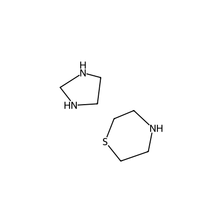 C1CNCN1.C1CSCCN1